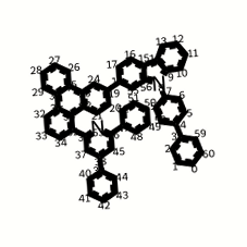 c1ccc(-c2ccc(-n3c4ccccc4c4ccc(-c5ccc6c(c5)c5ccccc5c5cccc(-c7cc(-c8ccccc8)cc(-c8ccccc8)n7)c56)cc43)cc2)cc1